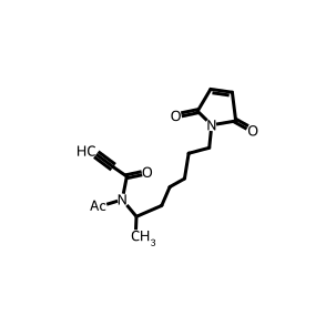 C#CC(=O)N(C(C)=O)C(C)CCCCCN1C(=O)C=CC1=O